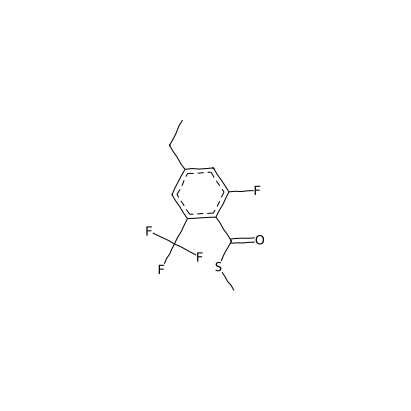 CCc1cc(F)c(C(=O)SC)c(C(F)(F)F)c1